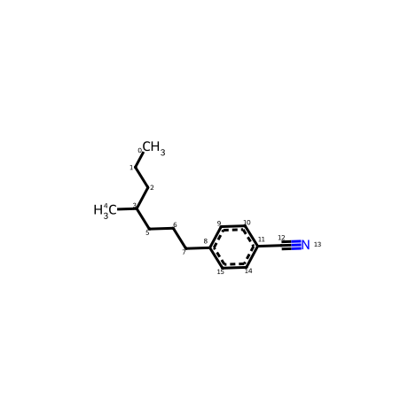 CCCC(C)CCCc1ccc(C#N)cc1